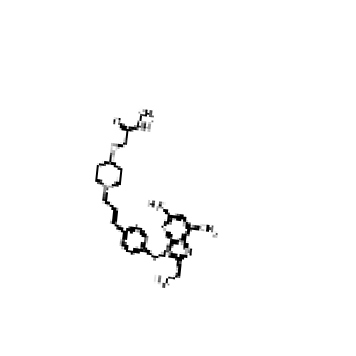 CCc1nc2c(C)cc(C)nc2n1Cc1ccc(C=CCN2CCC(OCC(=O)NC)CC2)cc1